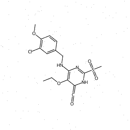 CCOC1=C(NCc2ccc(OC)c(Cl)c2)N=C(S(C)(=O)=O)NC1=C=O